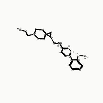 CC(C)(C)CCN1CCC2(CC1)CC2CNc1ccc(-c2ccccc2OC(F)(F)F)nn1